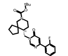 CC(C)(C)OC(=O)N1CC[C@H](Cn2cnc(-c3ccccc3F)cc2=O)C2(CCCC2)C1